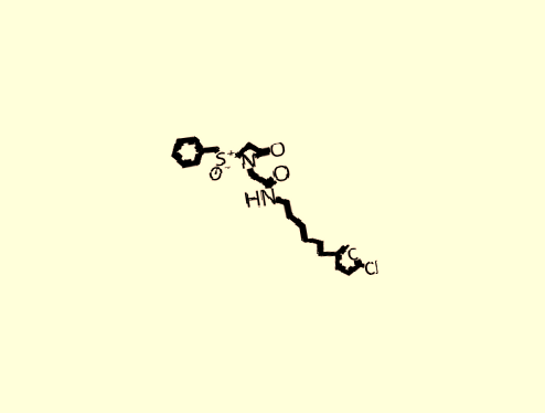 O=C(CN1C(=O)CC1[S@+]([O-])Cc1ccccc1)NCCCCCCc1ccc(Cl)cc1